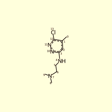 Cc1cc(NCCN(C)C)nnc1Cl